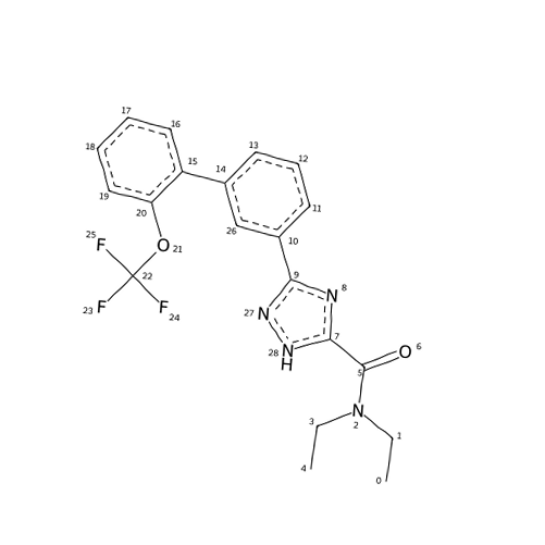 CCN(CC)C(=O)c1nc(-c2cccc(-c3ccccc3OC(F)(F)F)c2)n[nH]1